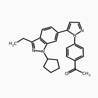 CCc1nn(C2CCCC2)c2cc(-c3ccnn3-c3ccc(C(C)=O)cc3)ccc12